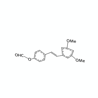 COc1cc(C=Cc2ccc(OC=O)cc2)cc(OC)c1